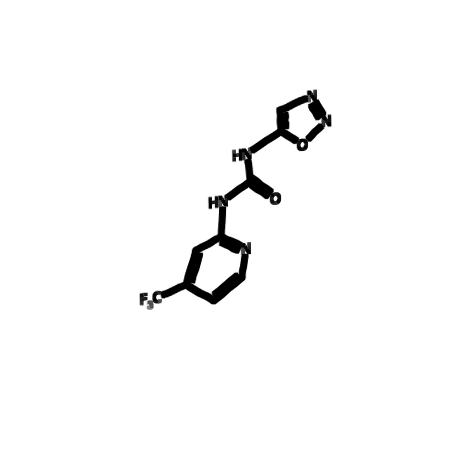 O=C(Nc1cc(C(F)(F)F)ccn1)Nc1cnno1